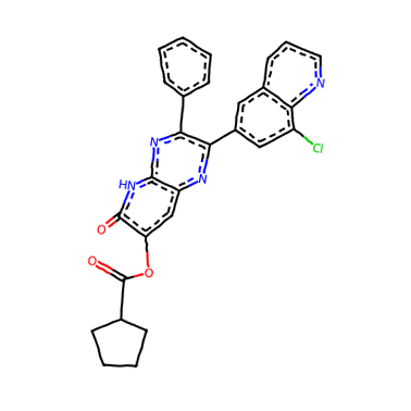 O=C(Oc1cc2nc(-c3cc(Cl)c4ncccc4c3)c(-c3ccccc3)nc2[nH]c1=O)C1CCCC1